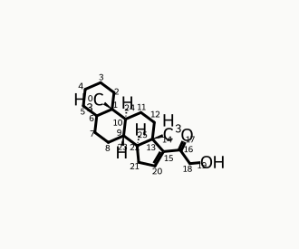 C[C@]12CCCCC1CC[C@@H]1[C@@H]2CC[C@]2(C)C(C(=O)CO)=CC[C@@H]12